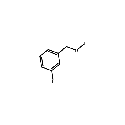 Fc1cccc(COI)c1